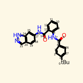 CC(C)(C)c1ccc(C(=O)Nc2ccccc2C(=O)Nc2ccc3cn[nH]c3c2)cc1